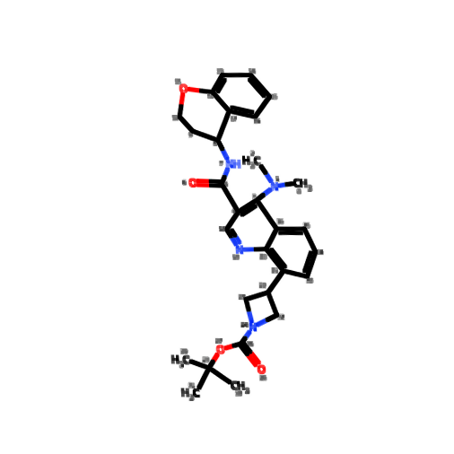 CN(C)c1c(C(=O)NC2CCOc3ccccc32)cnc2c(C3CN(C(=O)OC(C)(C)C)C3)cccc12